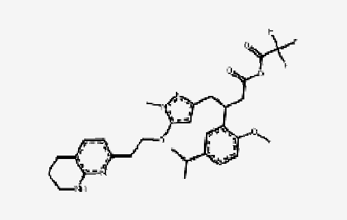 COc1ccc(C(C)C)cc1C(CC(=O)OC(=O)C(F)(F)F)Cc1cc(OCCc2ccc3c(n2)NCCC3)n(C)n1